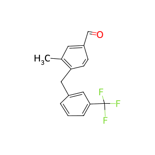 Cc1cc(C=O)ccc1Cc1cccc(C(F)(F)F)c1